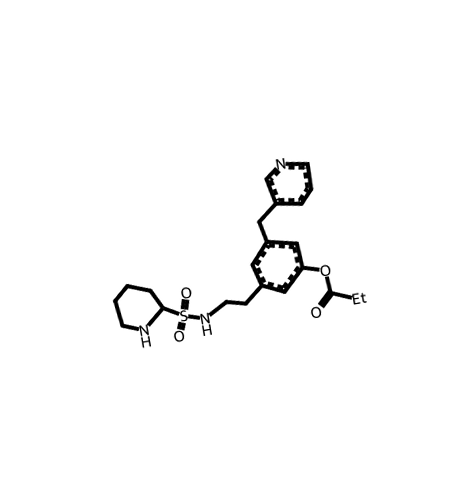 CCC(=O)Oc1cc(CCNS(=O)(=O)C2CCCCN2)cc(Cc2cccnc2)c1